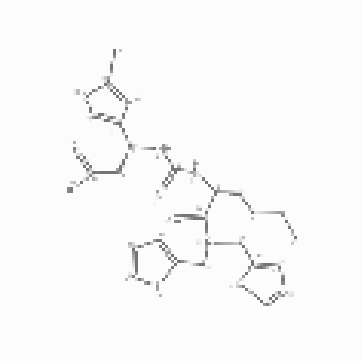 CCCC[C@H](NC(=O)N[C@@H](CC(=O)O)c1csc(C)n1)C(=O)N(Cc1cccs1)Cc1cccs1